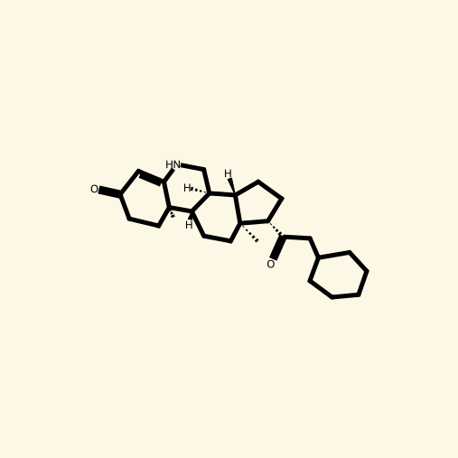 C[C@]12CC[C@H]3[C@@H](CNC4=CC(=O)CC[C@@]43C)[C@@H]1CC[C@@H]2C(=O)CC1CCCCC1